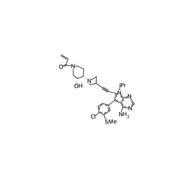 C=CC(=O)N1CC[C@H](N2CC(C#Cc3c(-c4ccc(Cl)c(SC)c4)c4c(N)ncnc4n3C(C)C)C2)[C@H](O)C1